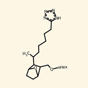 CCCCCCOCC1C2CCC(O2)C1C(C)CCCCCc1nnn[nH]1